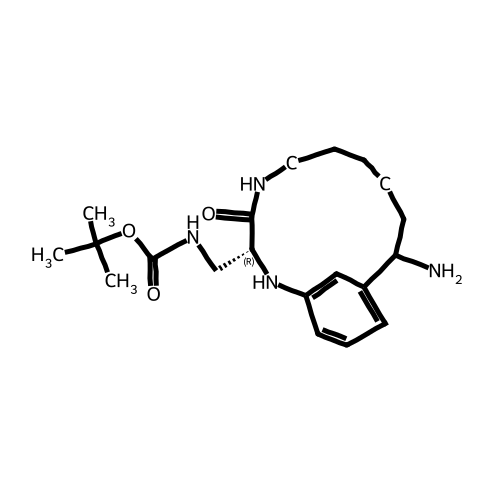 CC(C)(C)OC(=O)NC[C@H]1Nc2cccc(c2)C(N)CCCCCNC1=O